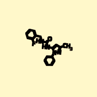 Cc1cc(NC(=O)NCc2ccccc2F)n(-c2ccccc2)n1